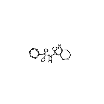 O=S(=O)(Nc1onc2c1CCCC2)c1ccccc1